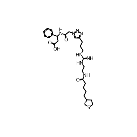 N=C(NCCCc1cn(CC(=O)NC(CC(=O)O)c2ccccc2)nn1)NCCNC(=O)CCCCC1CCSS1